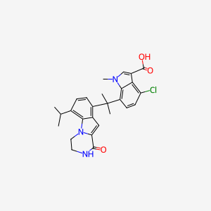 CC(C)c1ccc(C(C)(C)c2ccc(Cl)c3c(C(=O)O)cn(C)c23)c2cc3n(c12)CCNC3=O